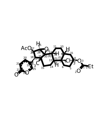 CCC(=O)O[C@H]1CC[C@@]2(C)[C@H](CC[C@@H]3[C@@H]2CC[C@]2(C)[C@@H](c4ccc(=O)oc4)[C@@H](OC(C)=O)[C@H]4O[C@]342)C1